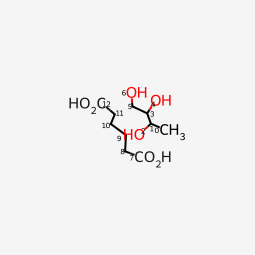 CC(O)C(O)CO.O=C(O)CCCCC(=O)O